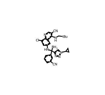 BC(Nc1cc(Cl)c2ncc(C#N)c(NCC(C)(C)C)c2c1)(c1cccc(C#N)c1)c1cn(C2CC2)nn1